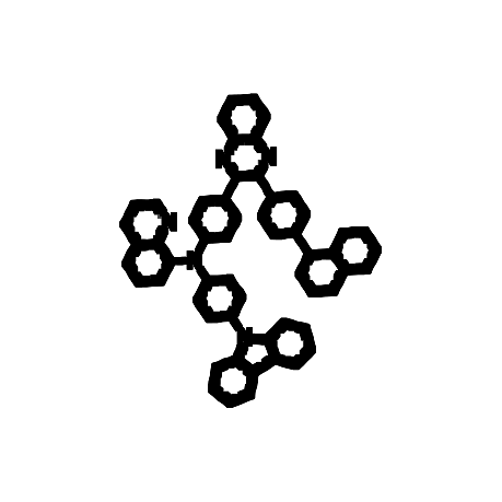 c1ccc2c(-c3ccc(-c4nc5ccccc5nc4-c4ccc(N(c5ccc(-n6c7ccccc7c7ccccc76)cc5)c5cccc6cccnc56)cc4)cc3)cccc2c1